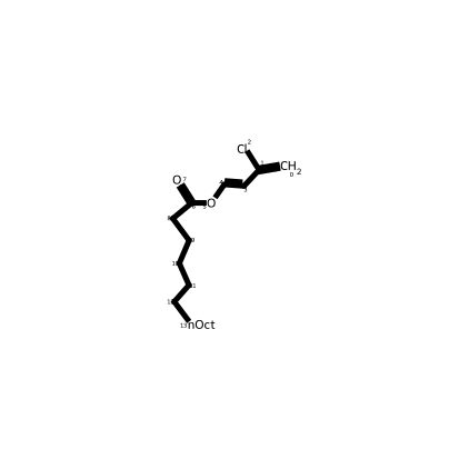 C=C(Cl)C=COC(=O)CCCCCCCCCCCCC